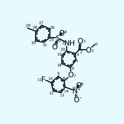 COC(=O)c1cc(Oc2cc(F)ccc2[N+](=O)[O-])ccc1NS(=O)(=O)c1ccc(C)cc1